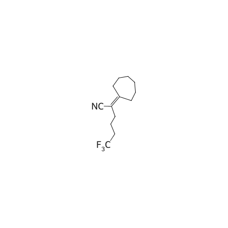 N#CC(CCCC(F)(F)F)=C1CCCCCC1